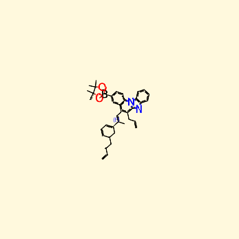 C=CCCC1C=CC=C(/C(C)=C/c2c(CC=C)c3nc4ccccc4n3c3ccc(B4OC(C)(C)C(C)(C)O4)cc23)C1